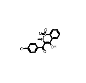 CN1C(C(=O)c2ccc(Cl)cc2)=C(O)c2ccccc2S1(=O)=O